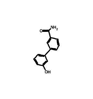 NC(=O)c1cccc(-c2cccc(O)c2)c1